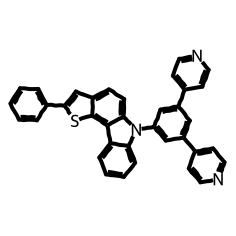 c1ccc(-c2cc3ccc4c(c5ccccc5n4-c4cc(-c5ccncc5)cc(-c5ccncc5)c4)c3s2)cc1